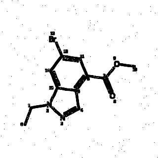 CCn1ncc2c(C(=O)OC)cc(Br)cc21